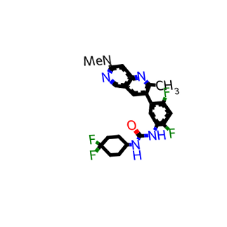 CNc1cc2nc(C)c(-c3cc(NC(=O)NC4CCC(F)(F)CC4)c(F)cc3F)cc2cn1